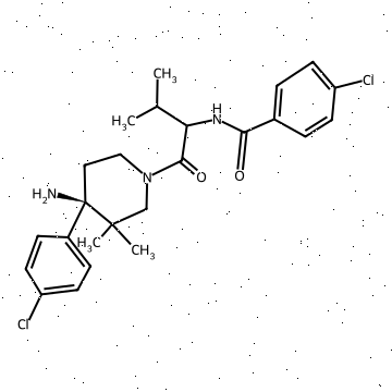 CC(C)C(NC(=O)c1ccc(Cl)cc1)C(=O)N1CC[C@@](N)(c2ccc(Cl)cc2)C(C)(C)C1